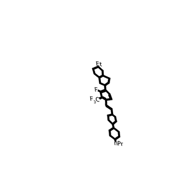 CCCC1CCC(C2CCC(/C=C/c3ccc(C4CCC5CC(CC)CCC5C4)c(F)c3C(F)(F)F)CC2)CC1